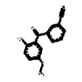 COc1ccc(N)c(C(=O)c2cccc(C#N)c2)c1